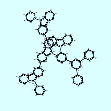 c1ccc(-c2nc(-c3ccccc3)nc(-c3ccc(-n4c5ccc(-c6ccc7c(c6)c6ccccc6n7-c6ccccc6)cc5c5ccc(-c6ccc7c(c6)c6ccccc6n7-c6ccccc6)cc54)c(-n4c5ccccc5c5ccccc54)c3)n2)cc1